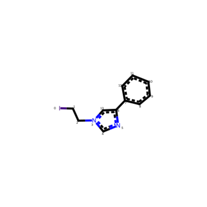 ICCn1cnc(-c2ccccc2)c1